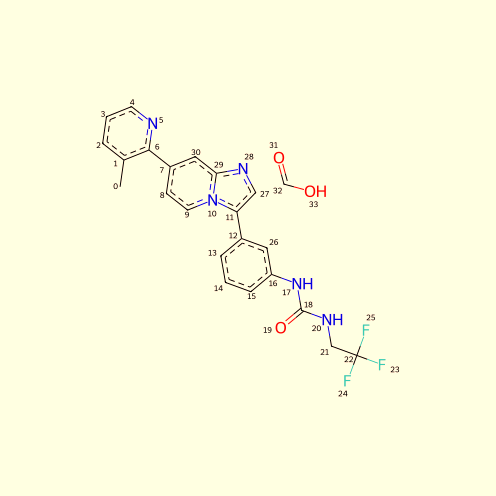 Cc1cccnc1-c1ccn2c(-c3cccc(NC(=O)NCC(F)(F)F)c3)cnc2c1.O=CO